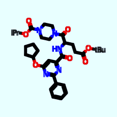 CC(C)OC(=O)N1CCN(C(=O)C(CCC(=O)OC(C)(C)C)NC(=O)c2cc(OC3CCCC3)nc(-c3ccccc3)n2)CC1